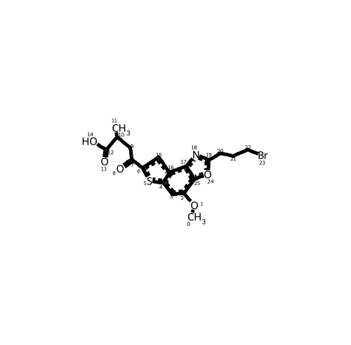 COc1cc2sc(C(=O)CC(C)C(=O)O)cc2c2nc(CCCBr)oc12